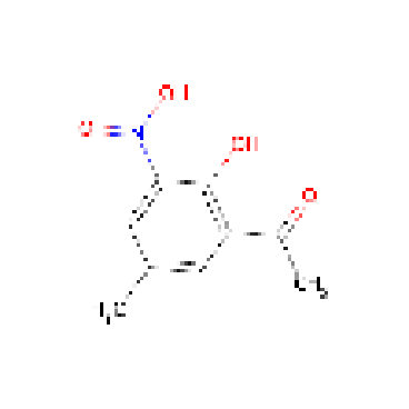 CC(=O)c1cc(C)cc([N+](=O)O)c1O